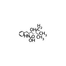 C=C[C@@H](C[C@@H](O)[C@H](Cc1ccccc1)NC(=O)O)C(C)C